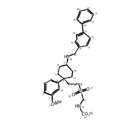 COc1cccc([C@]2(CNS(=O)(=O)CNC(=O)O)CC[C@@H](NCc3ccc(-c4ccccc4)cc3)CC2)c1